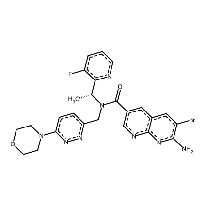 C[C@H](c1ncccc1F)N(Cc1ccc(N2CCOCC2)nn1)C(=O)c1cnc2nc(N)c(Br)cc2c1